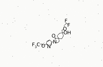 O=C1N(c2ccc(OCC(F)(F)F)nc2)CCC12CCC(O)(COCC(F)F)CC2